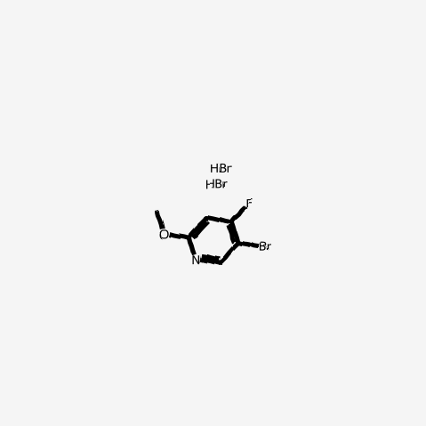 Br.Br.COc1cc(F)c(Br)cn1